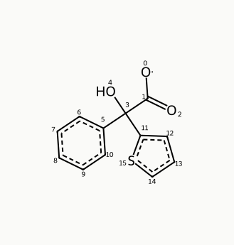 [O]C(=O)C(O)(c1ccccc1)c1cccs1